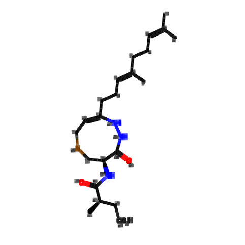 CC(C)=CCC/C(C)=C/CC/C1=C/CSC[C@H](NC(=O)[C@H](C)CC(=O)O)C(=O)NN1